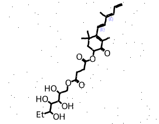 C=C/C=C(C)/C=C/C1=C(C)C(=O)C(OC(=O)CCC(=O)OCC(O)C(O)C(O)C(O)CC)CC1(C)C